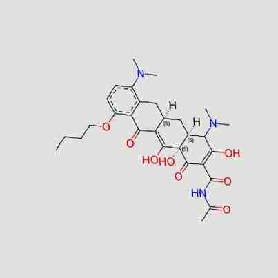 CCCCOc1ccc(N(C)C)c2c1C(=O)C1=C(O)[C@]3(O)C(=O)C(C(=O)NC(C)=O)=C(O)C(N(C)C)[C@@H]3C[C@@H]1C2